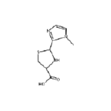 Cn1ccnc1C1NC(C(=O)O)CS1